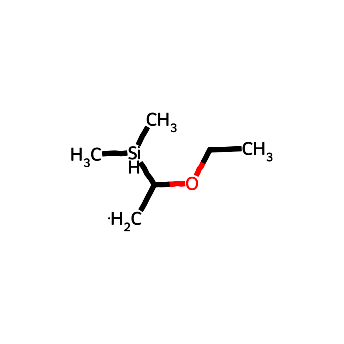 [CH2]C(OCC)[SiH](C)C